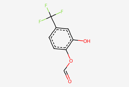 O=COc1ccc(C(F)(F)F)cc1O